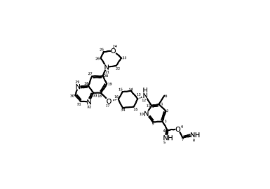 Cc1cc(C(=N)OC=N)cnc1N[C@H]1CC[C@@H](Oc2cc(N3CCOCC3)cc3nccnc23)CC1